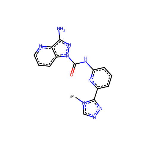 CC(C)n1cnnc1-c1cccc(NC(=O)n2nc(N)c3ncccc32)n1